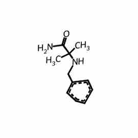 CC(C)(NCc1ccccc1)C(N)=O